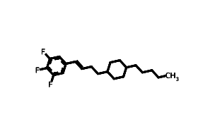 CCCCCC1CCC(CCC=Cc2cc(F)c(F)c(F)c2)CC1